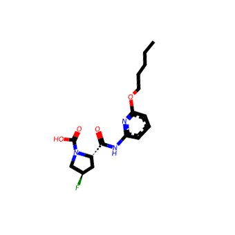 CCCCCOc1cccc(NC(=O)[C@@H]2C[C@@H](F)CN2C(=O)O)n1